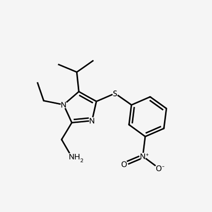 CCn1c(CN)nc(Sc2cccc([N+](=O)[O-])c2)c1C(C)C